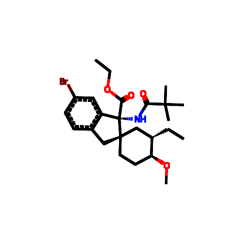 CCOC(=O)[C@]1(NC(=O)C(C)(C)C)c2cc(Br)ccc2C[C@@]12CC[C@H](OC)[C@@H](CC)C2